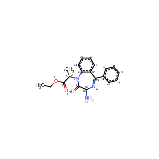 CCOC(=O)[C@H](C)N1C(=O)[C@H](N)N=C(c2ccccc2)c2ccccc21